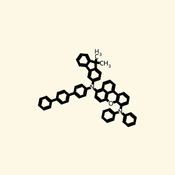 CC1(C)c2ccccc2-c2cc(N(c3ccc(-c4ccc(-c5ccccc5)cc4)cc3)c3ccc4c5c(cccc35)-c3cccc(N(C5=CCCC=C5)c5ccccc5)c3O4)ccc21